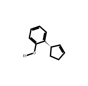 CCOc1ccccc1[C@@H]1C=CCC1